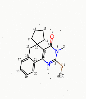 CCSc1nc2c(c(=O)n1C)C1(CCCC1)Cc1ccccc1-2